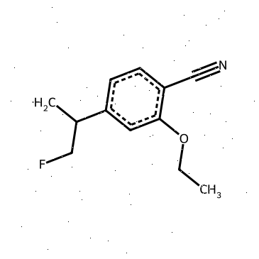 [CH2]C(CF)c1ccc(C#N)c(OCC)c1